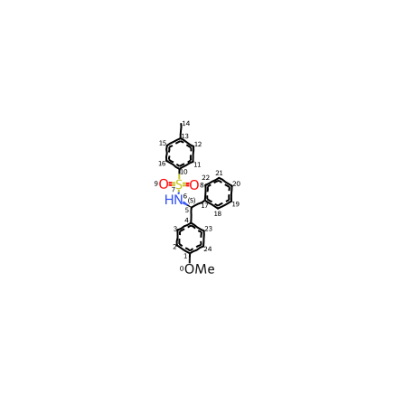 COc1ccc([C@@H](NS(=O)(=O)c2ccc(C)cc2)c2ccccc2)cc1